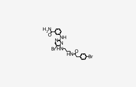 NC(=O)c1cccc(Nc2ncc(Br)c(NCCCNC(=O)Cc3ccc(Br)cc3)n2)c1